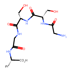 CC(C)[C@H](NC(=O)CNC(=O)[C@H](CO)NC(=O)[C@H](CO)NC(=O)CN)C(=O)O